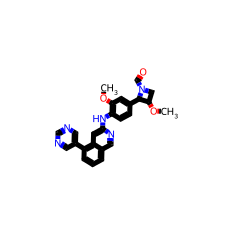 COc1cc(C2C(OC)CN2C=O)ccc1Nc1cc2c(-c3cncnc3)cccc2cn1